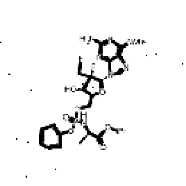 CNc1nc(N)nc2c1ncn2[C@@H]1OC(CO[P@](=O)(N[C@H](C)C(=O)OC(C)C)Oc2ccccc2)[C@@H](O)[C@]1(F)CF